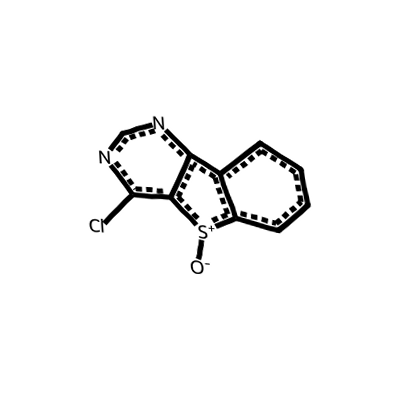 [O-][s+]1c2ccccc2c2ncnc(Cl)c21